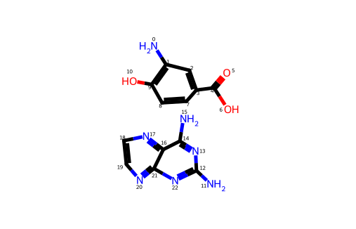 Nc1cc(C(=O)O)ccc1O.Nc1nc(N)c2nccnc2n1